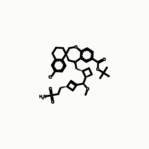 CO[C@@H](C1=C[C@@H](CCS(N)(=O)=O)C1)[C@@H]1CC[C@H]1CN1C[C@@]2(CCCc3cc(Cl)ccc32)COc2ccc(C(=O)OC(C)(C)C)cc21